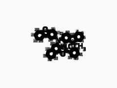 CC1(C)c2ccccc2-c2ccc(N(c3ccc4oc5ccccc5c4c3)c3cc4ccccc4c4oc(-c5ccccc5)nc34)cc21